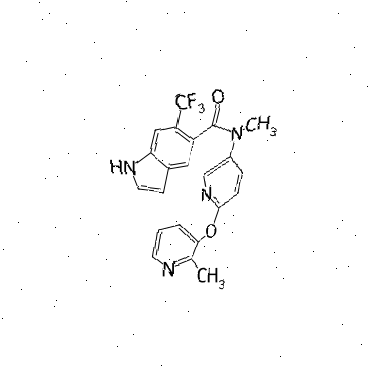 Cc1ncccc1Oc1ccc(N(C)C(=O)c2cc3cc[nH]c3cc2C(F)(F)F)cn1